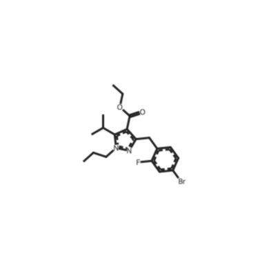 CCCn1nc(Cc2ccc(Br)cc2F)c(C(=O)OCC)c1C(C)C